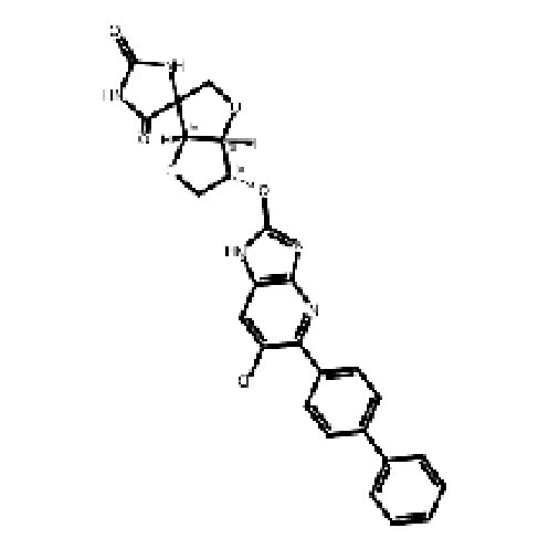 O=C1NC(=O)C2(CO[C@@H]3[C@H](Oc4nc5nc(-c6ccc(-c7ccccc7)cc6)c(Cl)cc5[nH]4)CO[C@@H]32)N1